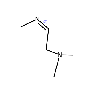 C/N=C\CN(C)C